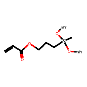 C=CC(=O)OCCC[Si](C)(OCCC)OCCC